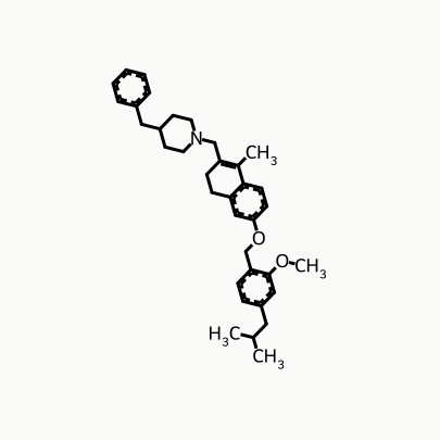 COc1cc(CC(C)C)ccc1COc1ccc2c(c1)CCC(CN1CCC(Cc3ccccc3)CC1)=C2C